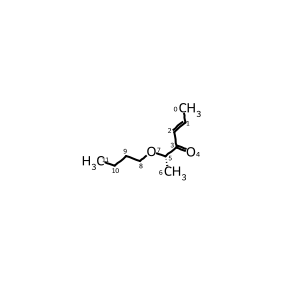 C/C=C/C(=O)[C@H](C)OCCCC